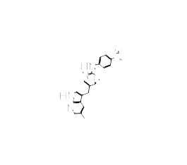 Cc1cnc2[nH]cc(Cc3cnc(Nc4ccc([S+](C)[O-])cc4)nc3)c2c1